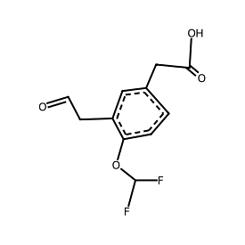 O=CCc1cc(CC(=O)O)ccc1OC(F)F